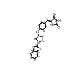 O=C1NC(=O)C(=Cc2ccc(OC3CCN(c4nc5ccccc5s4)C3)cc2)S1